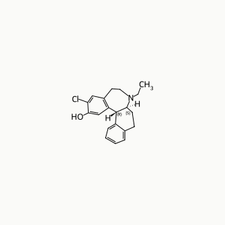 CCN1CCc2cc(Cl)c(O)cc2[C@H]2c3ccccc3CC[C@@H]21